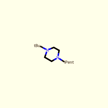 CCCC(C)N1CCN(C(C)(C)C)CC1